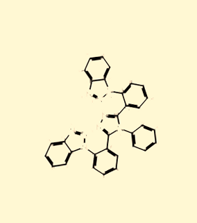 c1ccc(-n2c(-c3ccccc3-n3nnc4ccccc43)nnc2-c2ccccc2-n2nnc3ccccc32)cc1